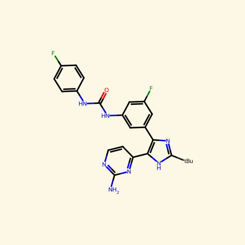 CC(C)(C)c1nc(-c2cc(F)cc(NC(=O)Nc3ccc(F)cc3)c2)c(-c2ccnc(N)n2)[nH]1